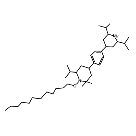 CCCCCCCCCCCCON1C(C(C)C)CC(c2ccc(C3CC(C(C)C)NC(C(C)C)C3)cc2)CC1(C)C